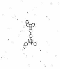 c1ccc(-c2nc(-c3ccc(-c4ccc(-n5c6ccccc6c6c7ccccc7ccc65)cc4)cc3)nc(-c3ccc4ccccc4c3)n2)cc1